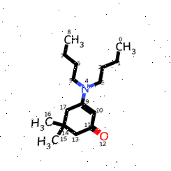 CCCCN(CCCC)C1=CC(=O)CC(C)(C)C1